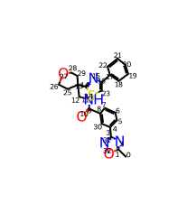 Cc1nc(-c2cccc(C(=O)NCC3(c4nc(-c5ccccc5)cs4)CCOCC3)c2)no1